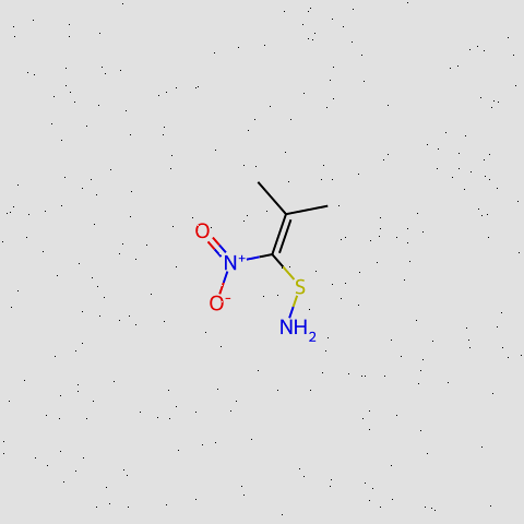 CC(C)=C(SN)[N+](=O)[O-]